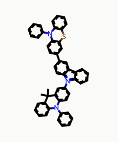 CC1(C)c2ccccc2N(c2ccccc2)c2ccc(-n3c4ccccc4c4cc(-c5ccc6c(c5)Sc5ccccc5N6c5ccccc5)ccc43)cc21